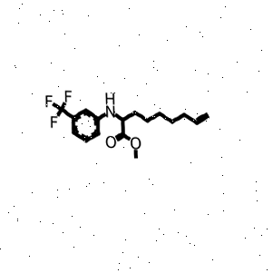 C=CCCCCCC(Nc1cccc(C(F)(F)F)c1)C(=O)OC